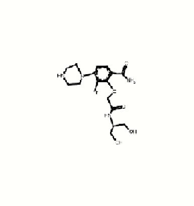 CCc1c(N2CCNCC2)ccc(C(N)=O)c1OCC(=O)NC(CO)CO